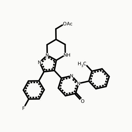 CC(=O)OCC1CNc2c(-c3ccc(=O)n(-c4ccccc4C)n3)c(-c3ccc(F)cc3)nn2C1